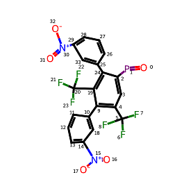 O=Pc1cc(C(F)(F)F)c(-c2cccc([N+](=O)[O-])c2)c(C(F)(F)F)c1-c1cccc([N+](=O)[O-])c1